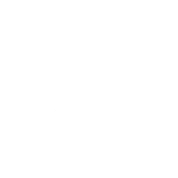 OCCCCCCCCOc1ccccc1Cl